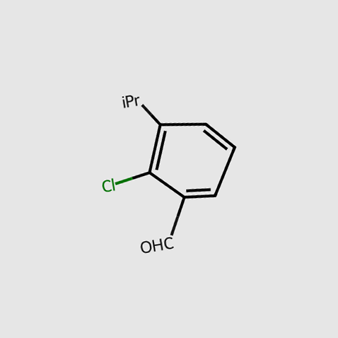 CC(C)c1cccc(C=O)c1Cl